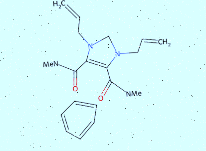 C=CCN1CN(CC=C)C(C(=O)NC)=C1C(=O)NC.c1ccccc1